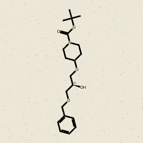 CC(C)(C)OC(=O)N1CCC(OC[C@@H](O)COCc2ccccc2)CC1